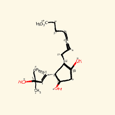 CCCCCC(C)(O)C=C[C@H]1C(O)CC(O)[C@@H]1CC=C=CCCC(=O)O